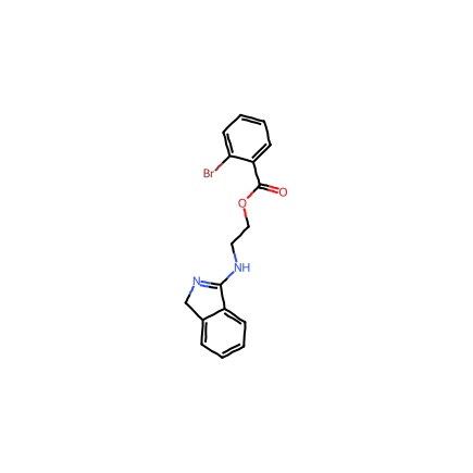 O=C(OCCNC1=NCc2ccccc21)c1ccccc1Br